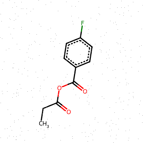 CCC(=O)OC(=O)c1ccc(F)cc1